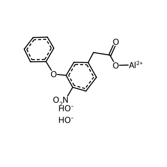 O=C(Cc1ccc([N+](=O)[O-])c(Oc2ccccc2)c1)[O][Al+2].[OH-].[OH-]